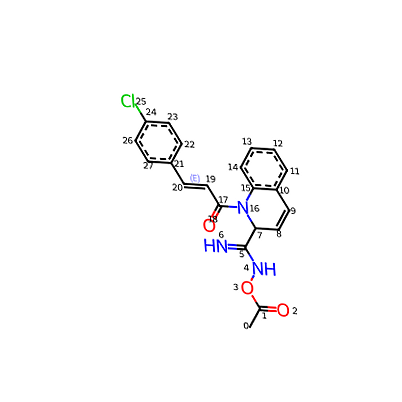 CC(=O)ONC(=N)C1C=Cc2ccccc2N1C(=O)/C=C/c1ccc(Cl)cc1